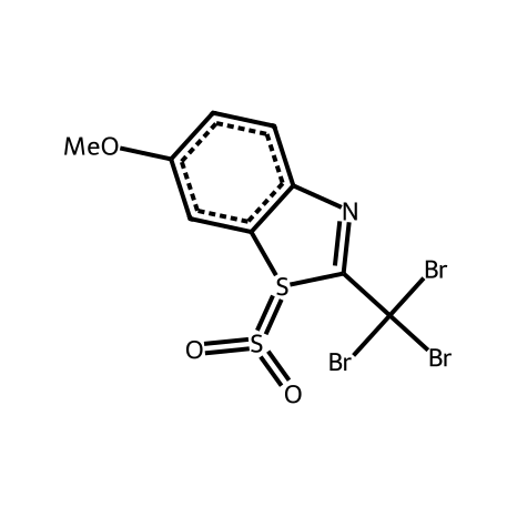 COc1ccc2c(c1)S(=S(=O)=O)C(C(Br)(Br)Br)=N2